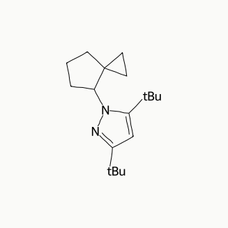 CC(C)(C)c1cc(C(C)(C)C)n(C2CCCC23CC3)n1